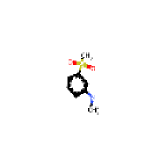 [CH2+][N-]c1cccc(S(C)(=O)=O)c1